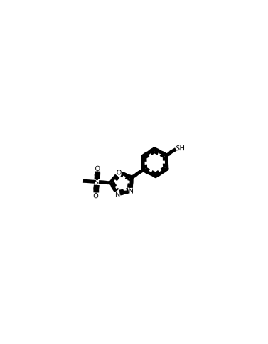 CS(=O)(=O)c1nnc(-c2ccc(S)cc2)o1